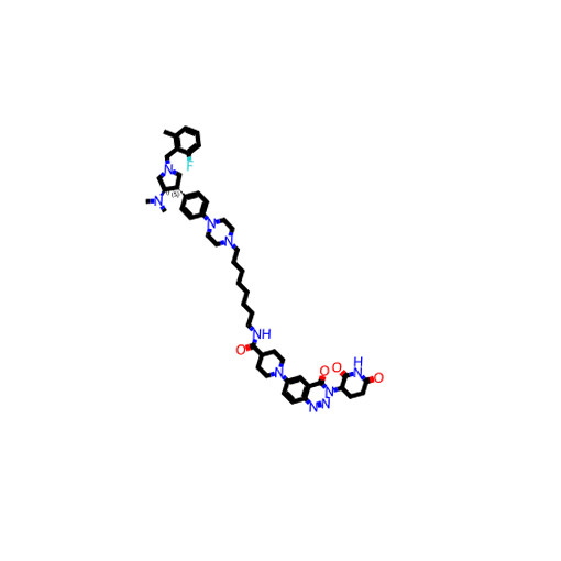 Cc1cccc(F)c1CN1C[C@H](c2ccc(N3CCN(CCCCCCCCNC(=O)C4CCN(c5ccc6nnn(C7CCC(=O)NC7=O)c(=O)c6c5)CC4)CC3)cc2)[C@@H](N(C)C)C1